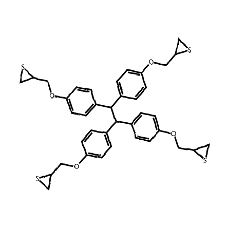 c1cc(C(c2ccc(OCC3CS3)cc2)C(c2ccc(OCC3CS3)cc2)c2ccc(OCC3CS3)cc2)ccc1OCC1CS1